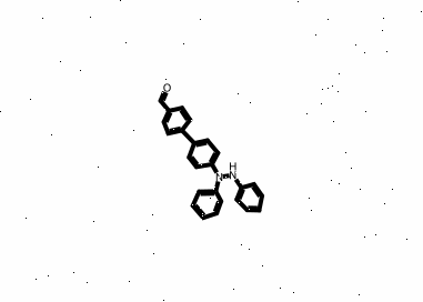 O=Cc1ccc(-c2ccc(N(Nc3ccccc3)c3ccccc3)cc2)cc1